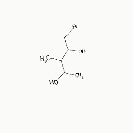 CC(O)C(C)C(O)[CH2][Fe]